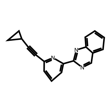 C(#CC1CC1)c1cccc(-c2ncc3ccccc3n2)n1